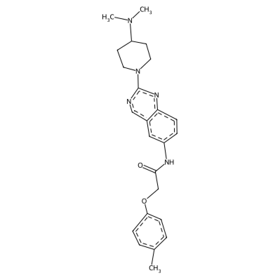 Cc1ccc(OCC(=O)Nc2ccc3nc(N4CCC(N(C)C)CC4)ncc3c2)cc1